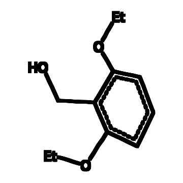 CCOc1cccc(OCC)c1CO